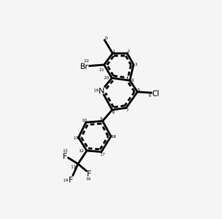 Cc1ccc2c(Cl)cc(-c3ccc(C(F)(F)F)cc3)nc2c1Br